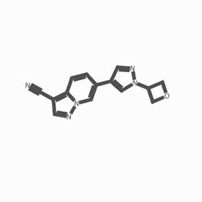 N#Cc1cnn2cc(-c3cnn(C4COC4)c3)ccc12